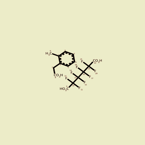 Cc1ccccc1CC(=O)O.O=C(O)C(F)(F)C(F)(F)C(F)(F)C(F)(F)C(=O)O